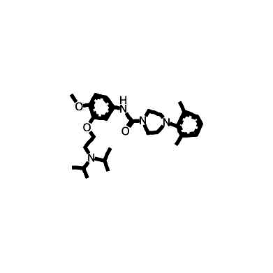 COc1ccc(NC(=O)N2CCN(c3c(C)cccc3C)CC2)cc1OCCN(C(C)C)C(C)C